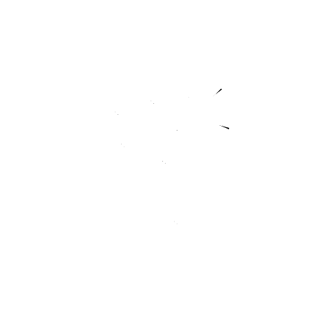 CC[C@H](NC1=NC2C(N=CN2C(C)C)C(NCc2cnc(C)cc2C)=N1)[C@@H](C)O